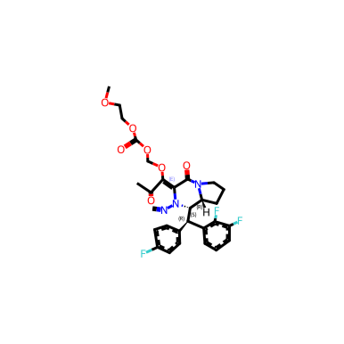 C=NN1/C(=C(/OCOC(=O)OCCOC)C(C)=O)C(=O)N2CCC[C@@H]2[C@@H]1[C@H](c1ccc(F)cc1)c1cccc(F)c1F